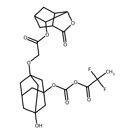 CC(F)(F)C(=O)OC(=O)OC12CC3CC(O)(CC(OCC(=O)OC4C5CC6C(=O)OC4C6C5)(C3)C1)C2